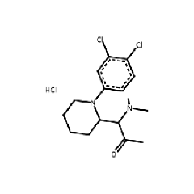 CC(=O)C(C1CCCCN1c1ccc(Cl)c(Cl)c1)N(C)C.Cl